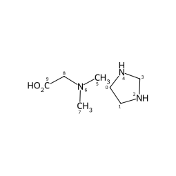 C1CNCN1.CN(C)CC(=O)O